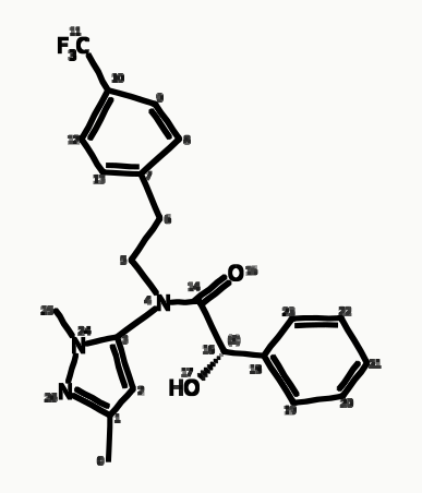 Cc1cc(N(CCc2ccc(C(F)(F)F)cc2)C(=O)[C@@H](O)c2ccccc2)n(C)n1